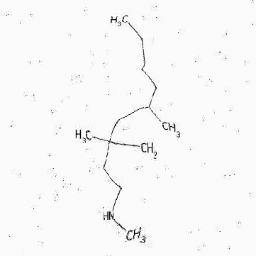 CCCCC(C)CC(C)(C)CCNC